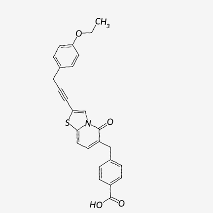 CCOc1ccc(CC#Cc2cn3c(=O)c(Cc4ccc(C(=O)O)cc4)ccc3s2)cc1